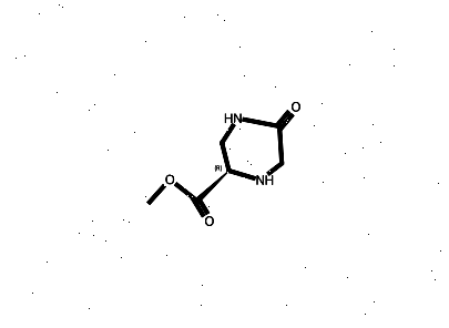 COC(=O)[C@H]1CNC(=O)CN1